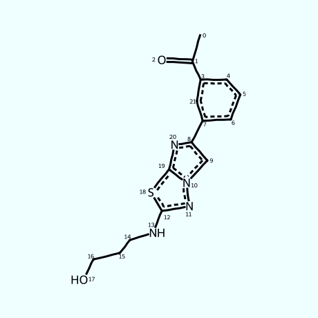 CC(=O)c1cccc(-c2cn3nc(NCCCO)sc3n2)c1